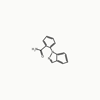 NC(=O)c1ccccc1-n1ncc2ccccc21